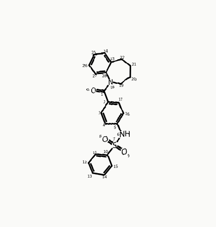 O=C(c1ccc(NS(=O)(=O)c2ccccc2)cc1)N1CCCCc2ccccc21